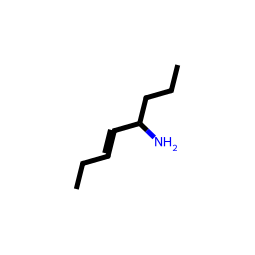 CCC=CC(N)CCC